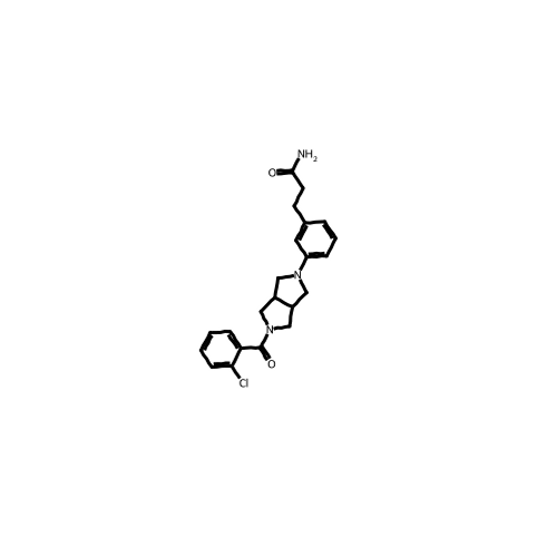 NC(=O)CCc1cccc(N2CC3CN(C(=O)c4ccccc4Cl)CC3C2)c1